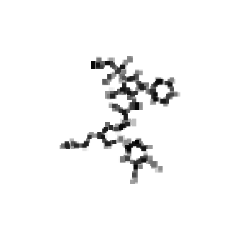 COCCN1C[C@@H](NC(=O)Nc2c(C)c(C(F)(F)CO)nn2-c2ccccc2)[C@H](c2ccc(F)c(F)c2)C1